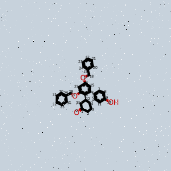 O=C1CC[C@@H](c2cccc(O)c2)[C@H](c2ccc(OCc3ccccc3)cc2OCc2ccccc2)C1